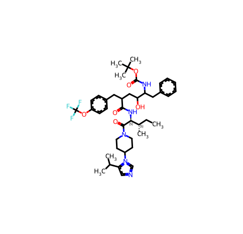 CC[C@H](C)[C@H](NC(=O)C(Cc1ccc(OC(F)(F)F)cc1)CC(O)C(Cc1ccccc1)NC(=O)OC(C)(C)C)C(=O)N1CCC(n2cncc2C(C)C)CC1